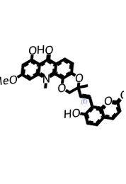 COc1cc(O)c2c(=O)c3ccc4c(c3n(C)c2c1)OCC(C)(/C=C/c1c(O)ccc2ccc(=O)oc12)O4